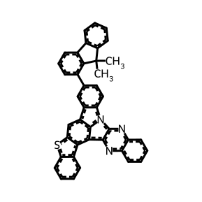 CC1(C)c2ccccc2-c2cccc(-c3ccc4c(c3)c3cc5sc6ccccc6c5c5c6nc7ccccc7nc6n4c35)c21